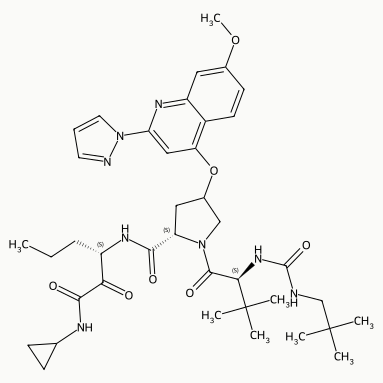 CCC[C@H](NC(=O)[C@@H]1CC(Oc2cc(-n3cccn3)nc3cc(OC)ccc23)CN1C(=O)[C@@H](NC(=O)NCC(C)(C)C)C(C)(C)C)C(=O)C(=O)NC1CC1